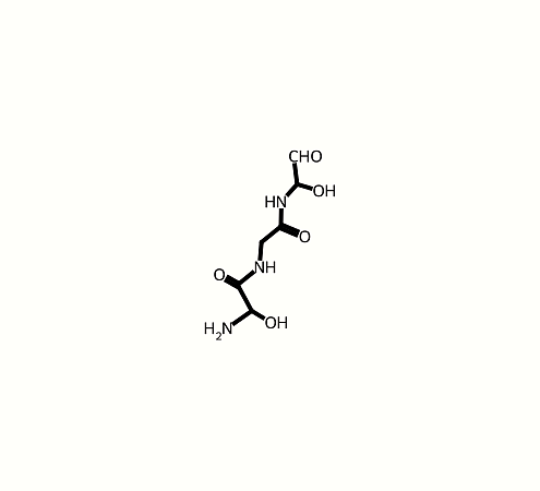 NC(O)C(=O)NCC(=O)NC(O)C=O